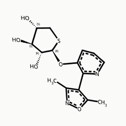 Cc1noc(C)c1-c1ncccc1O[C@@H]1SC[C@@H](O)[C@H](O)[C@H]1O